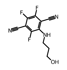 N#Cc1c(F)c(F)c(C#N)c(NCCCO)c1F